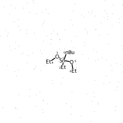 CCC[CH2][Sn]([CH2]C)([O]CC)[O]CC